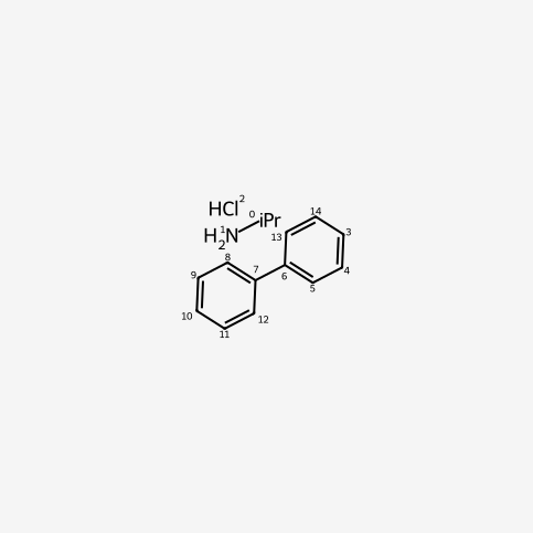 CC(C)N.Cl.c1ccc(-c2ccccc2)cc1